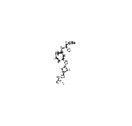 COC(=O)Cc1cc(OC2CC(OCC(F)(F)F)C2)ccn1